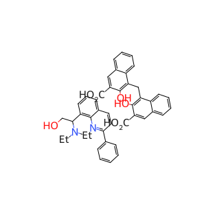 CCN(CC)C(CO)c1cccc2ccc(-c3ccccc3)nc12.O=C(O)c1cc2ccccc2c(Cc2c(O)c(C(=O)O)cc3ccccc23)c1O